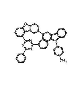 Cc1ccc(-n2c3ccccc3c3cc(-c4ccc5oc6cccc(-c7nc(-c8ccccc8)nc(-c8ccccc8)n7)c6c5c4)ccc32)cc1